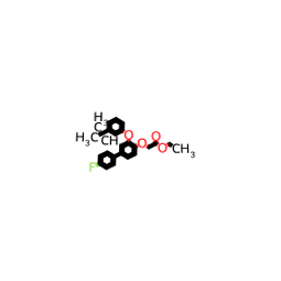 CCOC(=O)COc1ccc(-c2ccc(F)cc2)cc1Oc1cccc(C(C)(C)C)c1